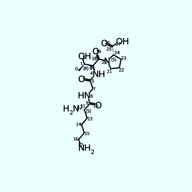 C[C@@H](O)[C@H](NC(=O)CNC(=O)[C@@H](N)CCCCN)C(=O)N1CCC[C@H]1C(=O)O